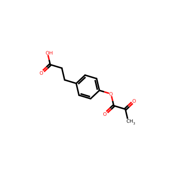 CC(=O)C(=O)Oc1ccc(CCC(=O)O)cc1